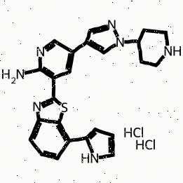 Cl.Cl.Nc1ncc(-c2cnn(C3CCNCC3)c2)cc1-c1nc2cccc(-c3ccc[nH]3)c2s1